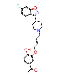 CC(=O)c1ccc(O)c(OCC=CCN2CCC(c3noc4cc(F)ccc34)CC2)c1